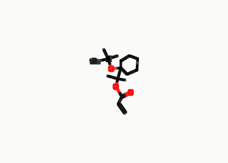 C=CC(=O)OC(C)(C)C1(O[Si](C)(C)C(C)(C)C)CCCCC1